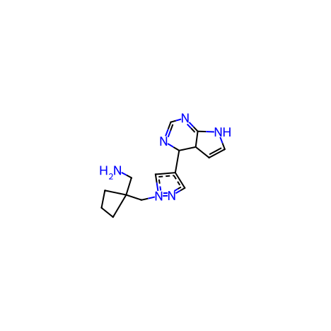 NCC1(Cn2cc(C3N=CN=C4NC=CC43)cn2)CCC1